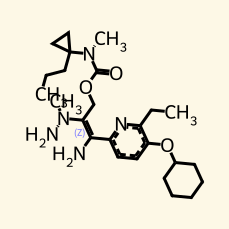 CCCC1(N(C)C(=O)OC/C(=C(/N)c2ccc(OC3CCCCC3)c(CC)n2)N(C)N)CC1